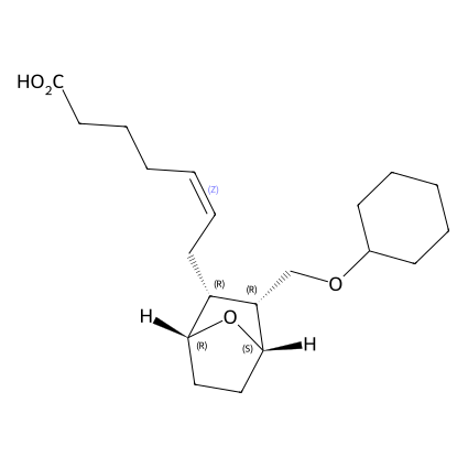 O=C(O)CCC/C=C\C[C@@H]1[C@H](COC2CCCCC2)[C@@H]2CC[C@H]1O2